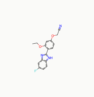 CCOc1cc(OCC#N)ccc1-c1nc2cc(F)ccc2[nH]1